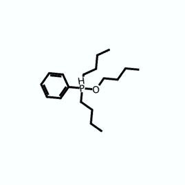 CCCCO[PH](CCCC)(CCCC)c1ccccc1